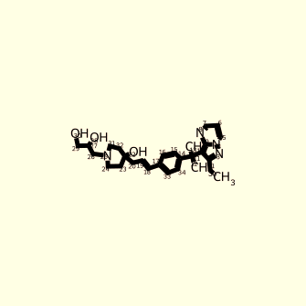 CCc1nn2cccnc2c1C(C)(C)c1ccc(C=CCC2(O)CCN(CC(O)CO)CC2)cc1